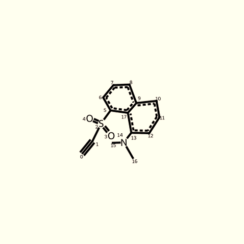 C#CS(=O)(=O)c1cccc2cccc(N(C)C)c12